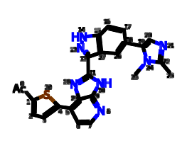 CC(=O)c1ccc(-c2ccnc3[nH]c(-c4n[nH]c5ccc(-c6cnc(C)n6C)cc45)nc23)s1